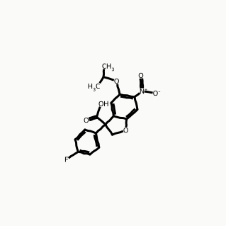 CC(C)Oc1cc2c(cc1[N+](=O)[O-])OCC2(C(=O)O)c1ccc(F)cc1